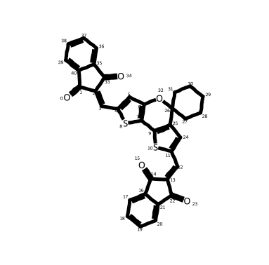 O=C1C(=Cc2cc3c(s2)-c2sc(C=C4C(=O)c5ccccc5C4=O)cc2C2(CCCCC2)O3)C(=O)c2ccccc21